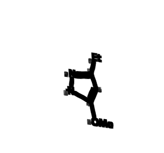 CCC1=N[N]C(OC)=C1